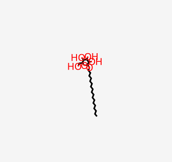 CCCCCCCCCCCCCCCCCCOC1OC(CO)C(O)C(O)C1O